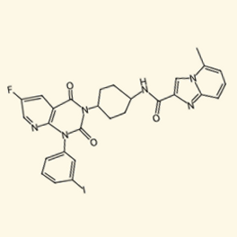 Cc1cccc2nc(C(=O)NC3CCC(n4c(=O)c5cc(F)cnc5n(-c5cccc(I)c5)c4=O)CC3)cn12